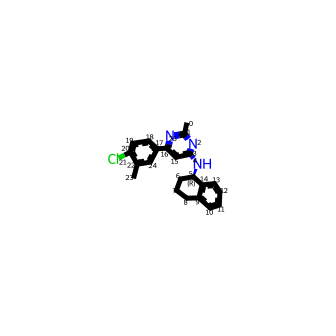 Cc1nc(N[C@@H]2CCCc3ccccc32)cc(-c2ccc(Cl)c(C)c2)n1